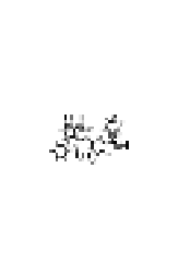 COc1ccccc1-c1c[nH]c2c1C=C(C1=CC=CC(C(=N)N3CCOCC3)C1)CN2